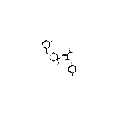 N#CCC1(n2cc(C(N)=O)c(Nc3ccc(F)cc3)n2)CCN(Cc2cc(F)ccn2)CC1